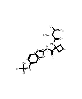 CC(C)[C@@H](N)C(=O)NC1(C(=O)Nc2nc3ccc(OC(F)(F)F)cc3s2)CCC1